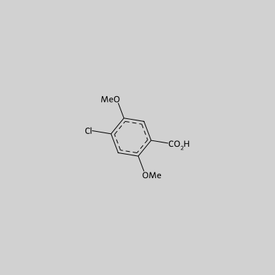 COc1cc(C(=O)O)c(OC)cc1Cl